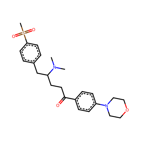 CN(C)C(CCC(=O)c1ccc(N2CCOCC2)cc1)Cc1ccc(S(C)(=O)=O)cc1